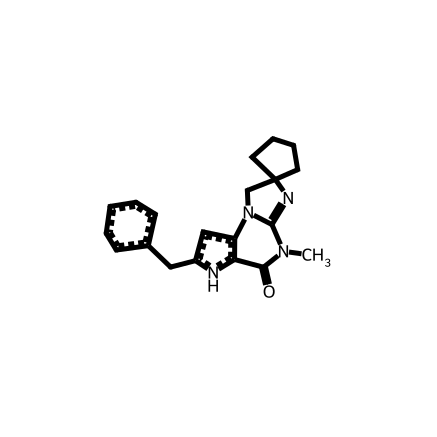 CN1C(=O)c2[nH]c(Cc3ccccc3)cc2N2CC3(CCCC3)N=C12